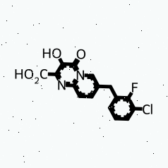 O=C(O)c1nc2ccc(Cc3cccc(Cl)c3F)cn2c(=O)c1O